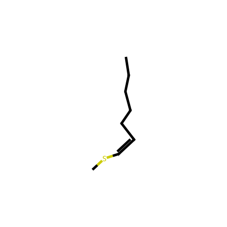 CCCCC/C=[C]\SC